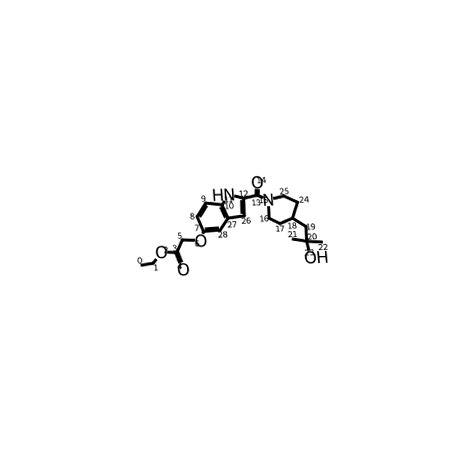 CCOC(=O)COc1ccc2[nH]c(C(=O)N3CCC(CC(C)(C)O)CC3)cc2c1